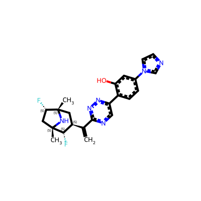 C=C(c1ncc(-c2ccc(-n3ccnc3)cc2O)nn1)[C@@H]1C[C@]2(C)N[C@@](C)(C[C@@H]2F)[C@H]1F